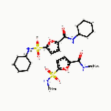 CCCCCCNC(=O)c1ccc(S(=O)(=O)NCCCCCC)o1.O=C(NC1CCCCC1)c1ccc(S(=O)(=O)NC2CCCCC2)o1